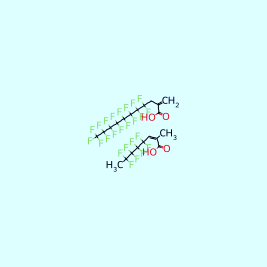 C=C(CC(F)(F)C(F)(F)C(F)(F)C(F)(F)C(F)(F)C(F)(F)C(F)(F)C(F)(F)F)C(=O)O.CC(=CC(F)(F)C(F)(F)C(F)(F)C(C)(F)F)C(=O)O